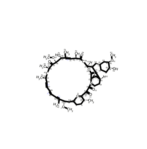 CO[C@H]1C[C@@H]2CC[C@@H](C)[C@@](O)(O2)C(=O)C(=O)N2CC[C@H]3C[C@H]2C(=O)O[C@@H](CC(=O)[C@H](C)/C=C(\C)[C@@H](O)[C@@H](OC)C(=O)[C@H](C)C[C@H](C)/C=C/C=C/C=C/1C)C3C[C@@H]1CC[C@@H](O)[C@H](OC)C1